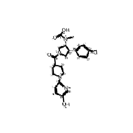 CN(C(=O)O)[C@@H]1CN(C(=O)C2CCN(c3ccc(O)cn3)CC2)C[C@H]1c1ccc(Cl)cc1